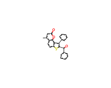 Cc1cc(=O)oc2c1ccc1sc(C(=O)c3ccccc3)c(-c3ccccc3)c12